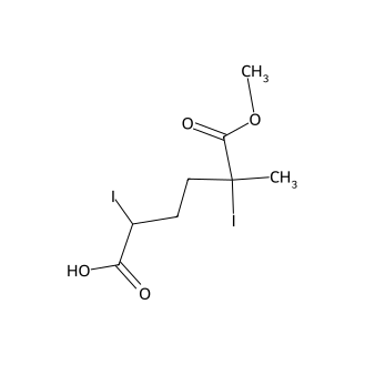 COC(=O)C(C)(I)CCC(I)C(=O)O